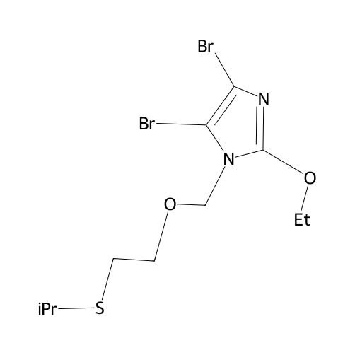 CCOc1nc(Br)c(Br)n1COCCSC(C)C